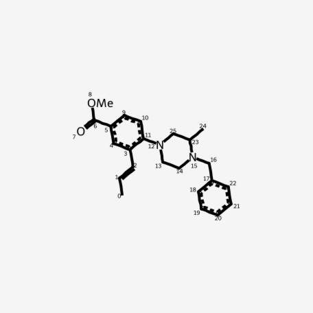 CC=Cc1cc(C(=O)OC)ccc1N1CCN(Cc2ccccc2)C(C)C1